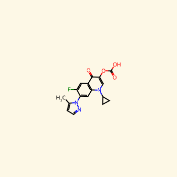 Cc1ccnn1-c1cc2c(cc1F)c(=O)c(OC(=O)O)cn2C1CC1